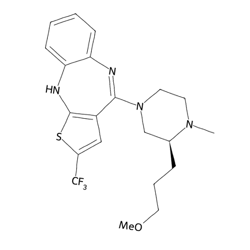 COCCC[C@H]1CN(C2=Nc3ccccc3Nc3sc(C(F)(F)F)cc32)CCN1C